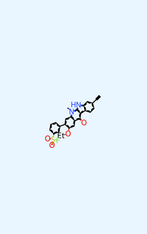 C#Cc1ccc2c(c1)[nH]c1c2c(=O)c2cc(OCC)c(-c3cccc(S(=O)(=O)F)c3)cc2n1C